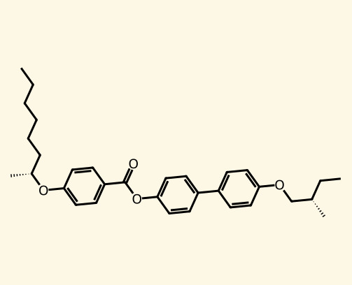 CCCCCC[C@@H](C)Oc1ccc(C(=O)Oc2ccc(-c3ccc(OC[C@@H](C)CC)cc3)cc2)cc1